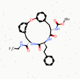 CC(C)(C)OC(=O)N[C@H]1Cc2cccc(c2)Oc2cccc(c2)C[C@@H](C(=O)NCC(F)(F)F)NC(=O)[C@H](CCc2ccccc2)NC1=O